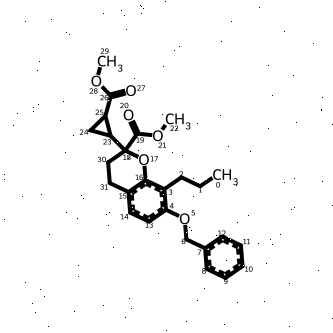 CCCc1c(OCc2ccccc2)ccc2c1OC(C(=O)OC)(C1CC1C(=O)OC)CC2